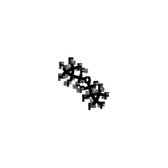 FC(F)(OC(F)(F)C1(F)C(F)(F)C1(F)F)C1(F)C(F)(F)C1(F)F